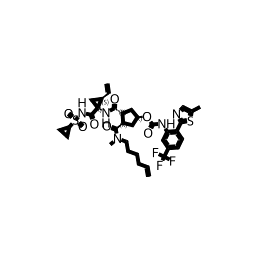 C=CCCCCN(C)C(=O)[C@@H]1C[C@H](OC(=O)Nc2cc(C(F)(F)F)ccc2-c2ncc(C)s2)C[C@H]1C(=O)N[C@]1(C(=O)NS(=O)(=O)C2CC2)C[C@H]1C=C